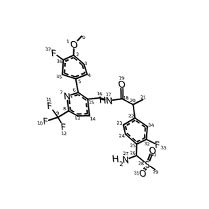 COc1ccc(-c2nc(C(F)(F)F)ccc2CNC(=O)C(C)c2ccc(C(N)S(C)(=O)=O)c(F)c2)cc1F